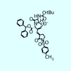 Cc1ccc(S(=O)(=O)N2CC/C(=C\C3=C[S+]([O-])[C@@H]4[C@H](NC(=O)OC(C)(C)C)C(=O)N4[C@H]3C(=O)OC(c3ccccc3)c3ccccc3)C2=O)cc1